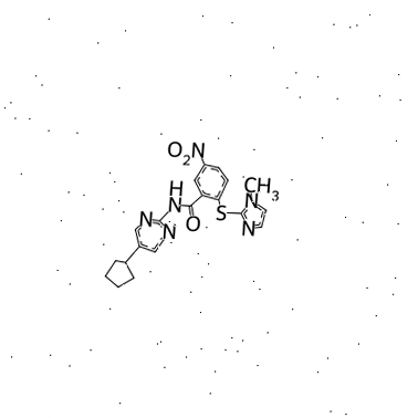 Cn1ccnc1Sc1ccc([N+](=O)[O-])cc1C(=O)Nc1ncc(C2CCCC2)cn1